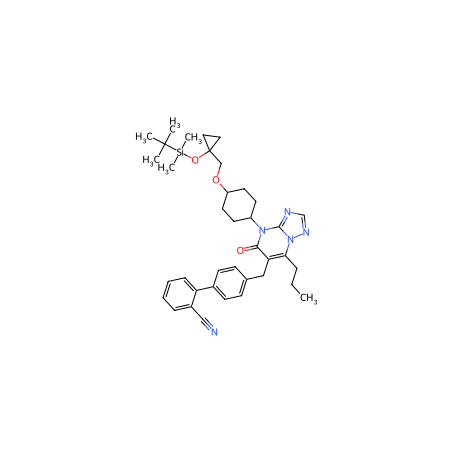 CCCc1c(Cc2ccc(-c3ccccc3C#N)cc2)c(=O)n(C2CCC(OCC3(O[Si](C)(C)C(C)(C)C)CC3)CC2)c2ncnn12